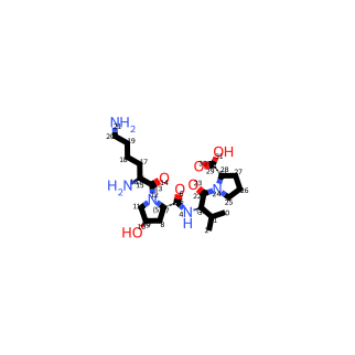 CC(C)[C@H](NC(=O)[C@@H]1C[C@@H](O)CN1C(=O)[C@@H](N)CCCCN)C(=O)N1CCC[C@H]1C(=O)O